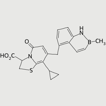 CB1C=Cc2c(Cc3cc(=O)n4c(c3C3CC3)SCC4C(=O)O)cccc2N1